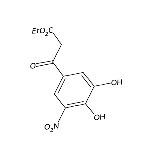 CCOC(=O)CC(=O)c1cc(O)c(O)c([N+](=O)[O-])c1